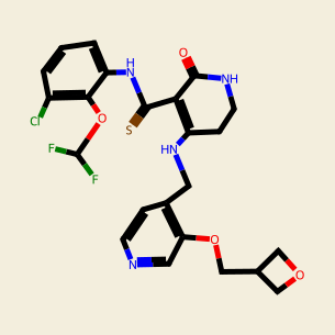 O=C1NCCC(NCc2ccncc2OCC2COC2)=C1C(=S)Nc1cccc(Cl)c1OC(F)F